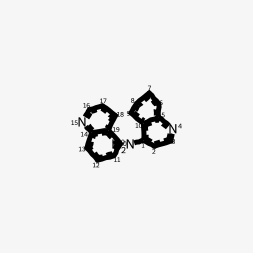 Nc1ccnc2ccccc12.c1ccc2ncccc2c1